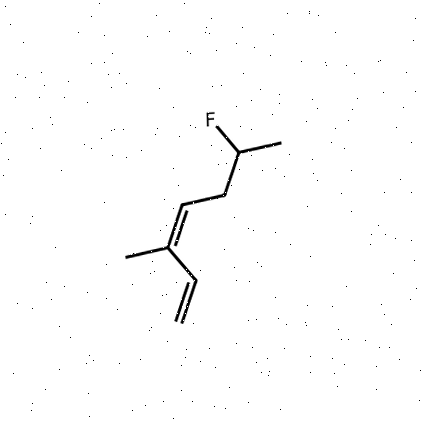 C=C/C(C)=C\CC(C)F